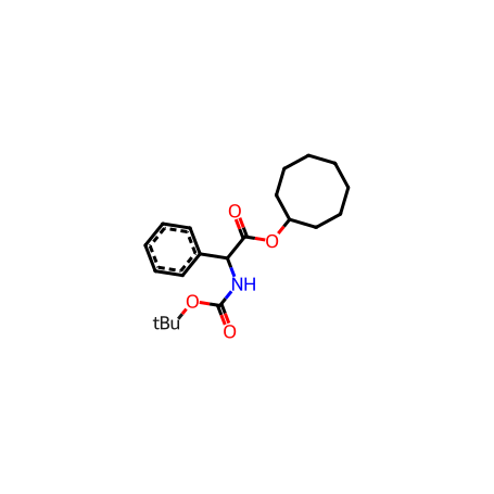 CC(C)(C)OC(=O)NC(C(=O)OC1CCCCCCC1)c1ccccc1